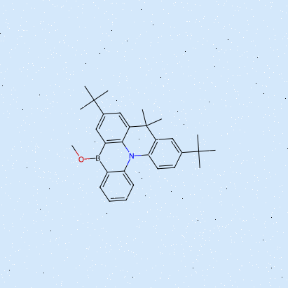 COB1c2ccccc2N2c3ccc(C(C)(C)C)cc3C(C)(C)c3cc(C(C)(C)C)cc1c32